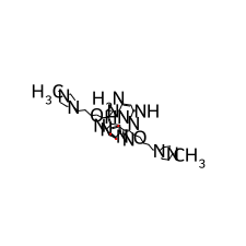 CN1CCN(CCCOc2nn3ccccc3c2/N=C2\N/C(=N\c3c(OCCCN4CCN(C)CC4)nn4ccccc34)C(N)=CC2=N)CC1